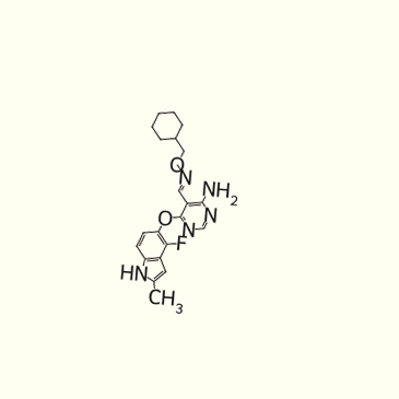 Cc1cc2c(F)c(Oc3ncnc(N)c3C=NOCC3CCCCC3)ccc2[nH]1